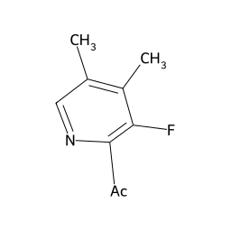 CC(=O)c1ncc(C)c(C)c1F